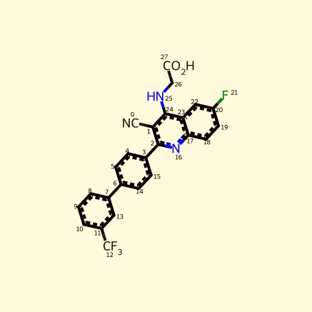 N#Cc1c(-c2ccc(-c3cccc(C(F)(F)F)c3)cc2)nc2ccc(F)cc2c1NCC(=O)O